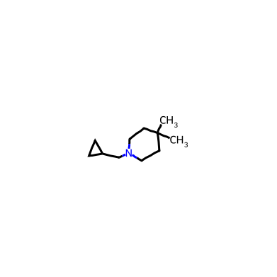 CC1(C)CCN(CC2CC2)CC1